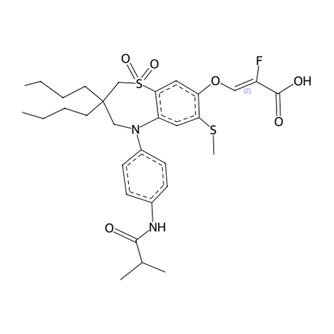 CCCCC1(CCCC)CN(c2ccc(NC(=O)C(C)C)cc2)c2cc(SC)c(O/C=C(\F)C(=O)O)cc2S(=O)(=O)C1